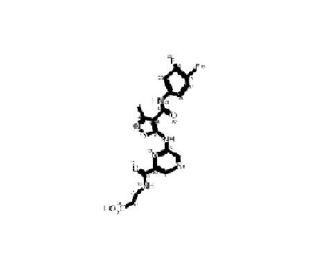 Cc1nsc(Nc2cncc(C(=O)NCCC(=O)O)n2)c1C(=O)Nc1ccc(F)c(F)c1